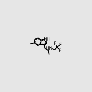 Cc1ccc2[nH]cc(CC(C)NCC(F)(F)F)c2c1